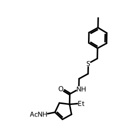 CCC1(C(=O)NCCSCc2ccc(C)cc2)CC=C(NC(C)=O)C1